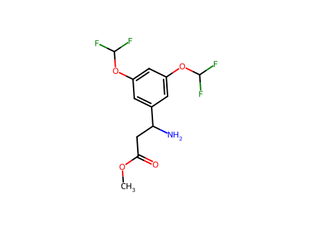 COC(=O)CC(N)c1cc(OC(F)F)cc(OC(F)F)c1